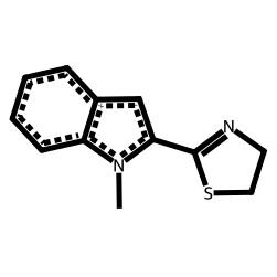 Cn1c(C2=NCCS2)cc2ccccc21